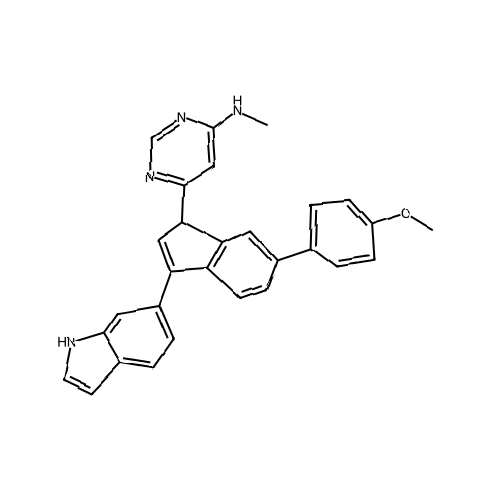 CNc1cc(C2C=C(c3ccc4cc[nH]c4c3)c3ccc(-c4ccc(OC)cc4)cc32)ncn1